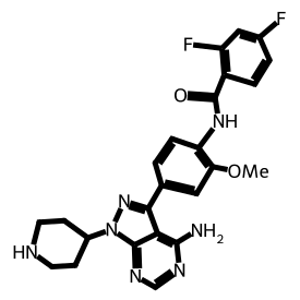 COc1cc(-c2nn(C3CCNCC3)c3ncnc(N)c23)ccc1NC(=O)c1ccc(F)cc1F